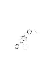 Cc1[nH]c2c(N3CCCCC3)c(-c3ccccc3)nn2c(=O)c1Cc1ccc(OC(F)(F)F)cc1